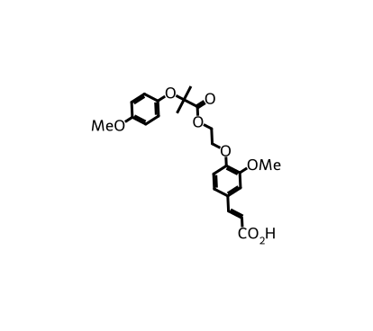 COc1ccc(OC(C)(C)C(=O)OCCOc2ccc(/C=C/C(=O)O)cc2OC)cc1